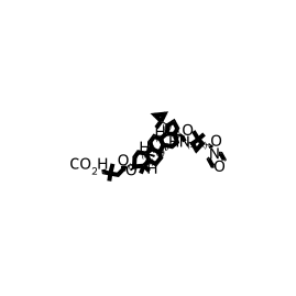 CC(C)(CC(=O)O)CC(=O)O[C@H]1CC[C@]2(C)[C@H]3CC[C@@H]4C5[C@H](C6(C)CC6)CC[C@]5(C(=O)N[C@H]5C[C@@H](C(=O)N6CCOCC6)C5(C)C)CC[C@@]4(C)[C@]3(C)CC[C@H]2C1(C)C